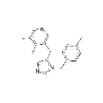 Cc1ccc(Cn2cncc2Cc2cccc(C)c2C)cc1